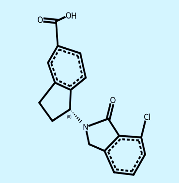 O=C(O)c1ccc2c(c1)CC[C@H]2N1Cc2cccc(Cl)c2C1=O